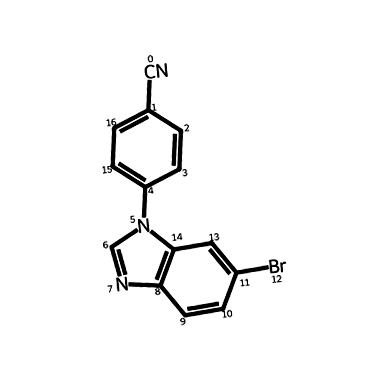 N#Cc1ccc(-n2cnc3ccc(Br)cc32)cc1